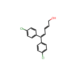 OC/C=C/C=C(c1ccc(Cl)cc1)c1ccc(Cl)cc1